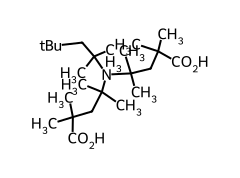 CC(C)(C)CC(C)(C)N(C(C)(C)CC(C)(C)C(=O)O)C(C)(C)CC(C)(C)C(=O)O